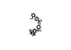 CCc1ccccc1N1CCN(C(=O)CO[C@H]2CC[C@H](Nc3ccc([N+](=O)[O-])c(C(F)(F)F)c3)CC2)CC1